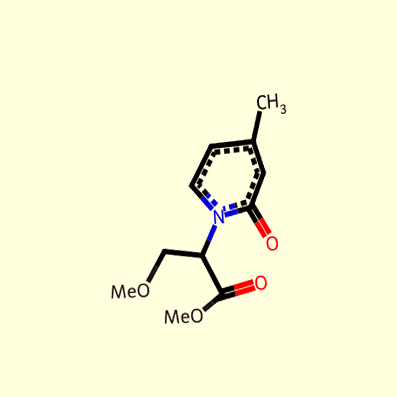 COCC(C(=O)OC)n1ccc(C)cc1=O